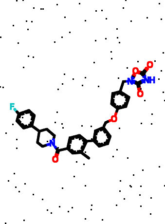 Cc1cc(C(=O)N2CCC(c3ccc(F)cc3)CC2)ccc1-c1cccc(COc2ccc(Cn3oc(=O)[nH]c3=O)cc2)c1